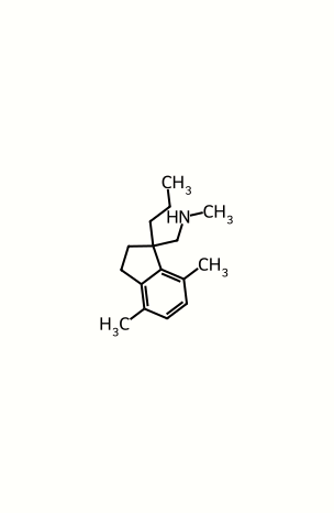 CCCC1(CNC)CCc2c(C)ccc(C)c21